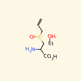 C=CC[S+]([O-])CC(N)C(=O)O.CCO